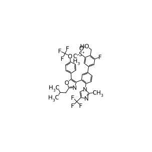 Cc1nc(C(F)(F)F)cn1-c1ccc(-c2cc(F)c(CO)c([S+](C)[O-])c2)cc1-c1nc(CC(C)C)oc1-c1ccc(OC(F)(F)F)cc1